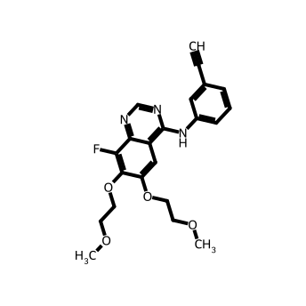 C#Cc1cccc(Nc2ncnc3c(F)c(OCCOC)c(OCCOC)cc23)c1